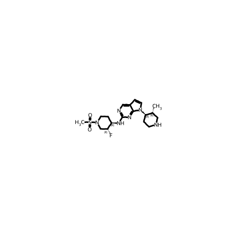 C[C@@H]1CNCC[C@H]1n1ccc2cnc(N[C@@H]3CCN(S(C)(=O)=O)C[C@H]3F)nc21